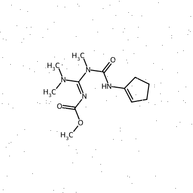 COC(=O)N=C(N(C)C)N(C)C(=O)NC1=CCCC1